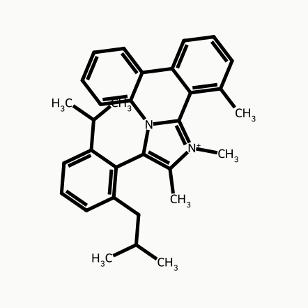 Cc1cccc2c3ccccc3n3c(-c4c(CC(C)C)cccc4C(C)C)c(C)[n+](C)c3c12